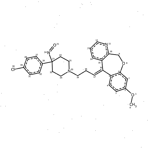 COc1ccc2c(c1)OCc1ncccc1C2=CCCN1CCC(N=O)(c2ccc(Cl)cc2)CC1